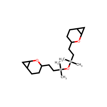 C[Si](C)(CCC1CCC2CC2O1)O[Si](C)(C)CCC1CCC2CC2O1